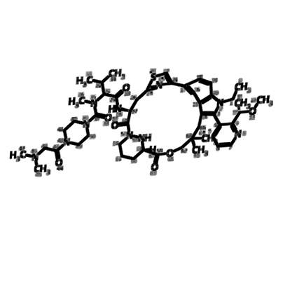 CCn1c(-c2cccnc2[C@H](C)OC)c2c3cc(ccc31)-c1csc(n1)C[C@H](NC(=O)C(C(C)C)N(C)C(=O)N1CCN(C(=O)CN(C)C)CC1)C(=O)N1CCC[C@H](N1)C(=O)OCC(C)(C)C2